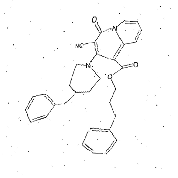 N#Cc1c(N2CCC(Cc3ccccc3)CC2)c(C(=O)OCCCc2ccccc2)c2ccccn2c1=O